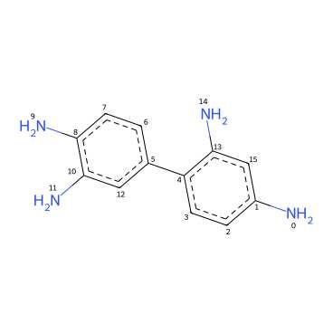 Nc1ccc(-c2ccc(N)c(N)c2)c(N)c1